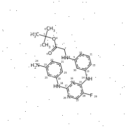 CC(C)(C)OC(=O)CNc1cccc(Nc2nc(Nc3cccc(N)c3)ncc2F)c1